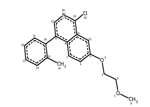 COCCOc1ccc2c(-c3ccccc3C)cnc(Cl)c2c1